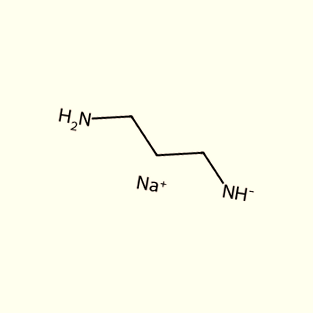 [NH-]CCCN.[Na+]